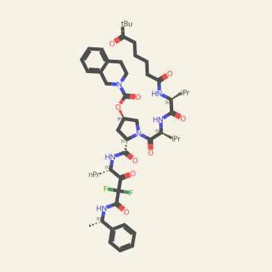 CCC[C@H](NC(=O)[C@@H]1C[C@@H](OC(=O)N2CCc3ccccc3C2)CN1C(=O)[C@@H](NC(=O)[C@@H](NC(=O)CCCCC(=O)C(C)(C)C)C(C)C)C(C)C)C(=O)C(F)(F)C(=O)N[C@@H](C)c1ccccc1